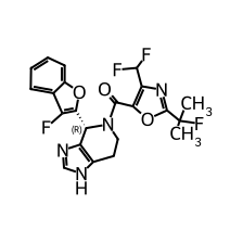 CC(C)(F)c1nc(C(F)F)c(C(=O)N2CCc3[nH]cnc3[C@@H]2c2oc3ccccc3c2F)o1